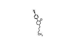 CCCCCC1CCC(c2ccc(C#N)cc2)C(=O)C1